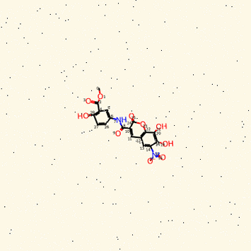 COC(=O)c1cc(NC(=O)c2cc3cc([N+](=O)[O-])c(O)c(O)c3oc2=O)ccc1O